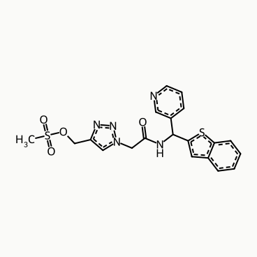 CS(=O)(=O)OCc1cn(CC(=O)NC(c2cccnc2)c2cc3ccccc3s2)nn1